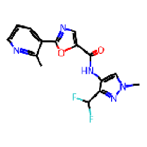 Cc1ncccc1-c1ncc(C(=O)Nc2cn(C)nc2C(F)F)o1